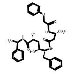 CC[C@H](C[C@H](O)[C@H](Cc1ccccc1)NC(=O)C[C@H](NC(=O)COc1ccccc1)C(=O)O)C(=O)NC(C)c1ccccc1